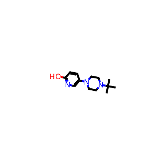 CC(C)(C)N1CCN(c2ccc(O)nc2)CC1